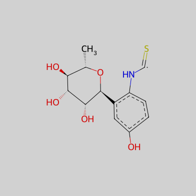 C[C@@H]1O[C@@H](c2cc(O)ccc2N[C]=S)[C@H](O)[C@H](O)[C@H]1O